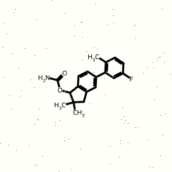 Cc1ccc(F)cc1-c1ccc2c(c1)CC(C)(C)C2OC(N)=O